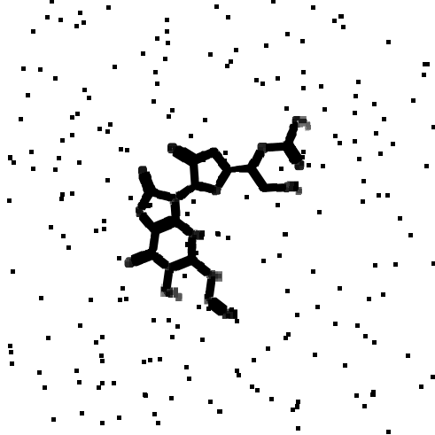 CCC(OC(C)=O)[C@@H]1CC(=O)[C@H](n2c3c(sc2=O)C(=O)N(N)C(NN=N)N3)O1